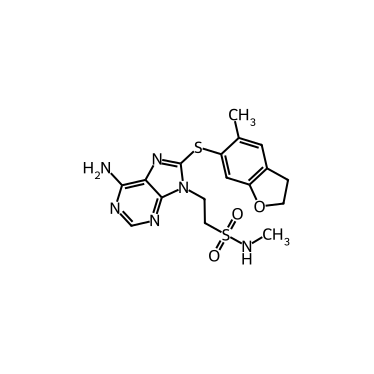 CNS(=O)(=O)CCn1c(Sc2cc3c(cc2C)CCO3)nc2c(N)ncnc21